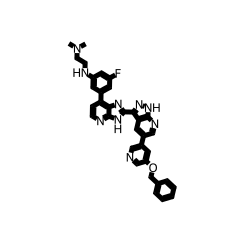 CN(C)CCNc1cc(F)cc(-c2ccnc3[nH]c(-c4n[nH]c5ncc(-c6cncc(OCc7ccccc7)c6)cc45)nc23)c1